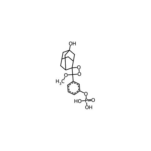 COC1(c2cccc(OP(=O)(O)O)c2)OOC12C1CC3CC2CC(O)(C3)C1